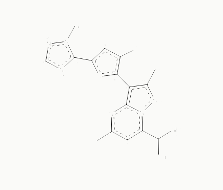 CCCC(CCC)c1cc(C)nc2c(-c3sc(-c4ncnn4C)cc3Cl)c(C)nn12